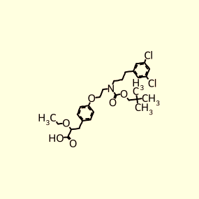 CCOC(Cc1ccc(OCCN(CCCc2cc(Cl)cc(Cl)c2)C(=O)OCC(C)(C)C)cc1)C(=O)O